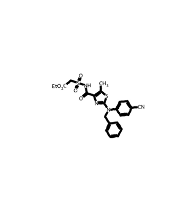 CCOC(=O)CS(=O)(=O)NC(=O)c1nc(N(Cc2ccccc2)c2ccc(C#N)cc2)sc1C